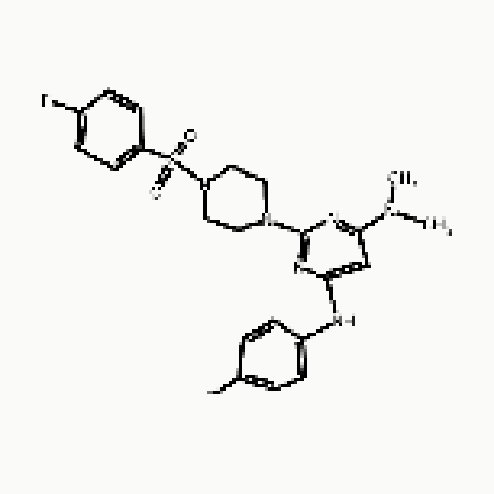 CN(C)c1cc(Nc2ccc(F)cc2)nc(N2CCN(S(=O)(=O)c3ccc(F)cc3)CC2)n1